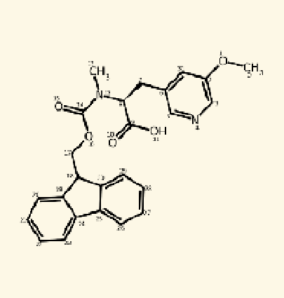 COc1cncc(C[C@@H](C(=O)O)N(C)C(=O)OCC2c3ccccc3-c3ccccc32)c1